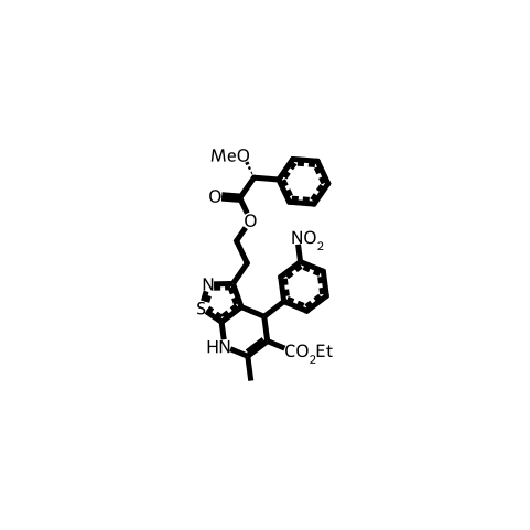 CCOC(=O)C1=C(C)Nc2snc(CCOC(=O)[C@H](OC)c3ccccc3)c2C1c1cccc([N+](=O)[O-])c1